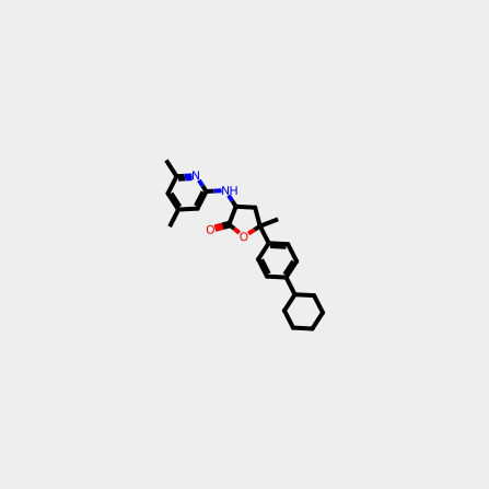 Cc1cc(C)nc(NC2CC(C)(c3ccc(C4CCCCC4)cc3)OC2=O)c1